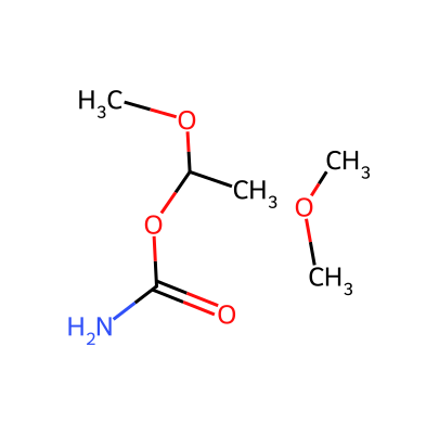 COC.COC(C)OC(N)=O